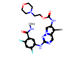 CONC(=O)c1cc(Nc2ncc3c(C(C)C)c(NC(=O)OCCN4CCOCC4)cn3n2)c(F)cc1F